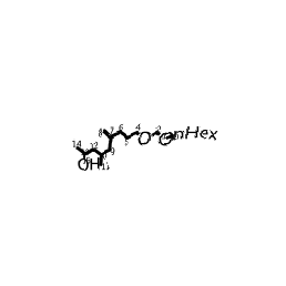 CCCCCCOCOCCCC(C)CC(C)CC(C)O